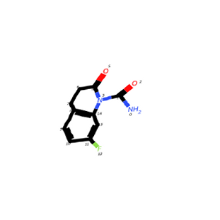 NC(=O)N1C(=O)[C]Cc2ccc(F)cc21